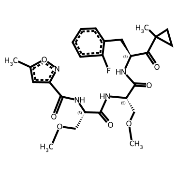 COC[C@H](NC(=O)c1cc(C)on1)C(=O)N[C@@H](COC)C(=O)N[C@@H](Cc1ccccc1F)C(=O)C1(C)CC1